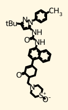 Cc1ccc(-n2nc(C(C)(C)C)cc2NC(=O)Nc2ccc(C3=CC(=O)C(CN4CC[S+]([O-])CC4)CC3)c3ccccc23)cc1